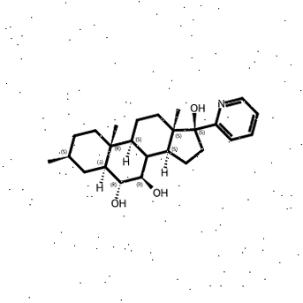 C[C@H]1CC[C@@]2(C)[C@H](C1)[C@@H](O)[C@H](O)C1[C@@H]2CC[C@@]2(C)[C@H]1CC[C@@]2(O)c1ccccn1